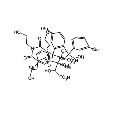 CC(C)(C)c1cccc(C(c2ccc(C(C)(C)C)cc2C(C(C)(C)C)(C(O)(C(=O)O)C(c2cccc(C(C)(C)C)c2)(C(O)C(=O)O)C(C)(C)C)[N+]2(CCO)C(=O)N(CCO)C(=O)N(CCO)C2=O)(C(O)C(=O)O)C(C)(C)C)c1